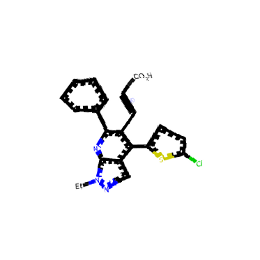 CCn1ncc2c(-c3ccc(Cl)s3)c(/C=C/C(=O)O)c(-c3ccccc3)nc21